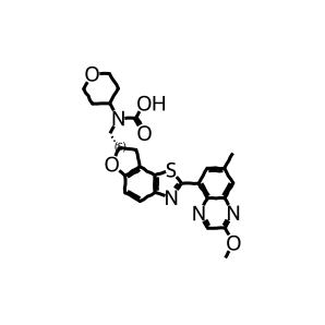 COc1cnc2c(-c3nc4ccc5c(c4s3)C[C@@H](CN(C(=O)O)C3CCOCC3)O5)cc(C)cc2n1